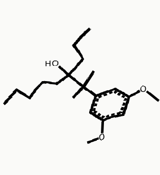 CCCCCC(O)(CCC)C(C)(C)c1cc(OC)cc(OC)c1